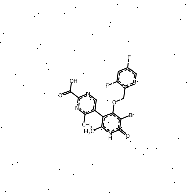 Cc1nc(C(=O)O)ncc1-c1c(C)[nH]c(=O)c(Br)c1OCc1ccc(F)cc1F